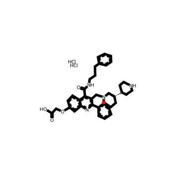 Cl.Cl.O=C(O)COc1ccc2c(C(=O)NCCCc3ccccc3)c(CN3CCC[C@@H](C4CCNCC4)C3)c(-c3ccccc3)nc2c1